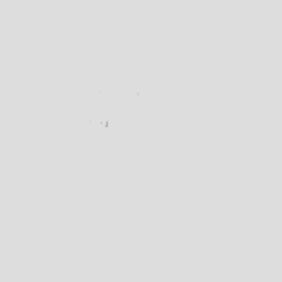 CCOC([CH]CC1OC(=O)O[C@H]1C(NC(C)=O)C(F)(F)F)OCC